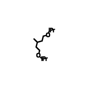 CC(CCOC(C)C)CCOC(C)C